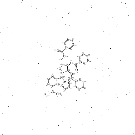 CN(C)c1ncnc2c1c1occc1n2[C@@H]1O[C@H](COC(=O)c2ccccc2)[C@@H](OC(=O)c2ccccc2)[C@H]1OC(=O)c1ccccc1